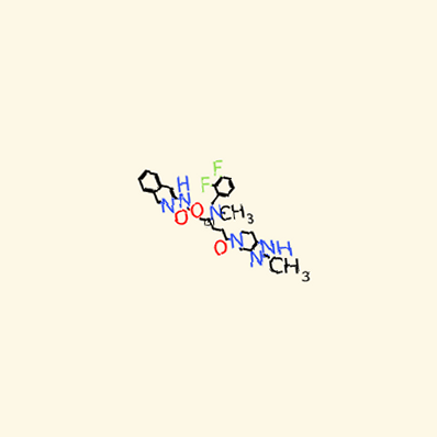 Cc1nc2c([nH]1)CCN(C(=O)CC[C@@H](COC(=O)Nc1cc3ccccc3cn1)N(C)Cc1cccc(F)c1F)C2